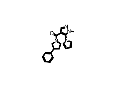 Cn1ncc(C(=O)N2CCC(c3ccccc3)C2)c1-n1cccc1